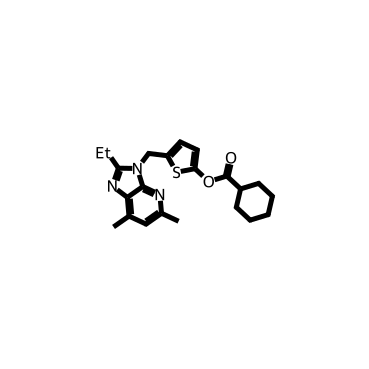 CCc1nc2c(C)cc(C)nc2n1Cc1ccc(OC(=O)C2CCCCC2)s1